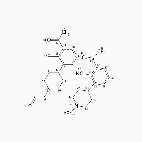 C=CCN1CCC(c2cccc(C(=O)C(F)(F)F)c2F)CC1.CCCN1CCC(c2cccc(C(=O)C(F)(F)F)c2C#N)CC1